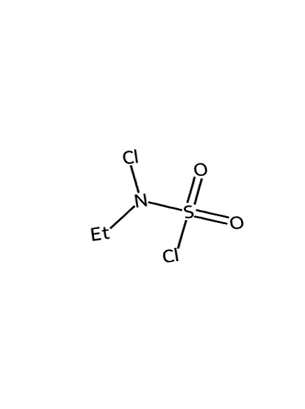 CCN(Cl)S(=O)(=O)Cl